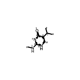 CNc1nc(=O)c(C(C)C)c[nH]1